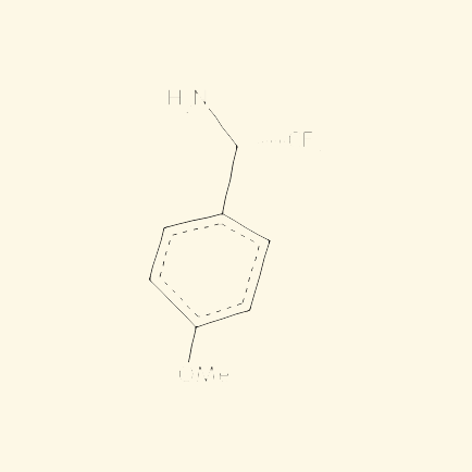 COc1ccc([C@H](N)C(F)(F)F)cc1